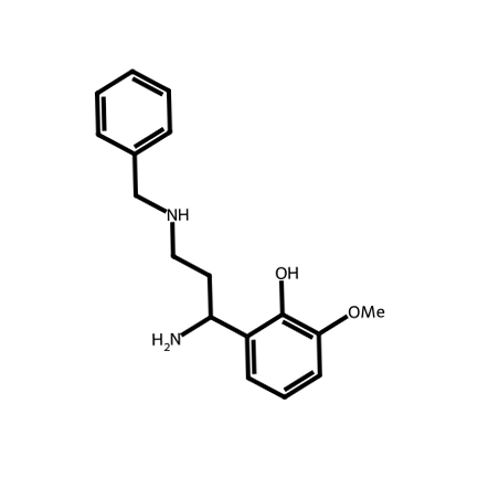 COc1cccc(C(N)CCNCc2ccccc2)c1O